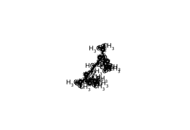 CC[C@H](C(=O)N1CCCC[C@H]1C(=O)O[C@H](CCc1ccc(OC)c(OC)c1)c1cccc(OCC(=O)CCC(O)CCC(=O)COc2cccc([C@@H](CCc3ccc(OC)c(OC)c3)OC(=O)[C@@H]3CCCCN3C(=O)[C@@H](CC)c3cc(OC)c(OC)c(OC)c3)c2)c1)c1cc(OC)c(OC)c(OC)c1